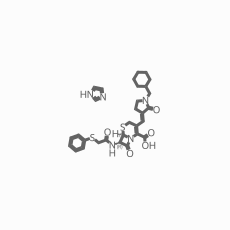 O=C(CSc1ccccc1)N[C@@H]1C(=O)N2C(C(=O)O)=C(C=C3CCN(CC4CCCCC4)C3=O)CS[C@H]12.c1c[nH]cn1